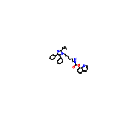 Cc1nc(-c2ccccc2)c(-c2ccccc2)n1CCCCCCNC(=O)Oc1cccc2cccnc12